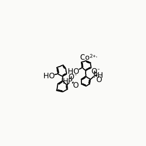 O=[PH]([O-])c1ccccc1-c1ccccc1O.O=[PH]([O-])c1ccccc1-c1ccccc1O.[Co+2]